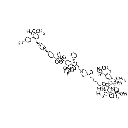 Cc1ncsc1-c1ccc([C@H](C)NC(=O)[C@@H]2C[C@@H](O)CN2C(=O)[C@@H](NC(=O)CCCCCC(=O)N2CCCN(CC[C@H](CSc3ccccc3)Nc3ccc(S(=O)(=O)NC(=O)c4ccc(N5CCN(CC6=C(c7ccc(Cl)cc7)CC(C)(C)CC6)CC5)cc4)cc3S(=O)(=O)C(F)(F)F)CC2)C(C)(C)C)cc1